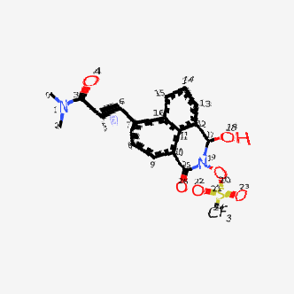 CN(C)C(=O)/C=C/c1ccc2c3c(cccc13)C(O)N(OS(=O)(=O)C(F)(F)F)C2=O